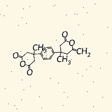 C=C1CC(C)(c2ccc(C3(C)CC(=O)OC(=O)C3)cc2)CC(=O)O1